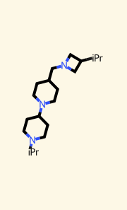 CC(C)C1CN(CC2CCN(C3CCN(C(C)C)CC3)CC2)C1